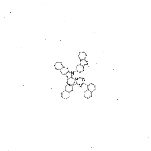 C1=Cc2ccc(-c3nc(-c4cc5sc6ccccc6c5cc4-n4c5ccccc5c5cc6ccccc6cc54)nc(-c4cccc5ccccc45)n3)cc2CC1